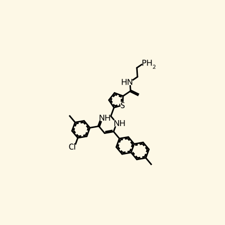 C=C(NCCP)c1ccc(CN/C(=C\C(=N)c2cc(C)cc(Cl)c2)c2ccc3cc(C)ccc3c2)s1